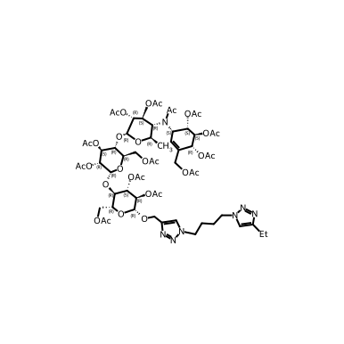 CCc1cn(CCCCn2cc(CO[C@@H]3O[C@H](COC(C)=O)[C@@H](O[C@H]4O[C@H](COC(C)=O)[C@@H](O[C@H]5O[C@H](C)[C@@H](N(C(C)=O)[C@H]6C=C(COC(C)=O)[C@@H](OC(C)=O)[C@H](OC(C)=O)[C@H]6OC(C)=O)[C@H](OC(C)=O)[C@H]5OC(C)=O)[C@H](OC(C)=O)[C@H]4OC(C)=O)[C@H](OC(C)=O)[C@H]3OC(C)=O)nn2)nn1